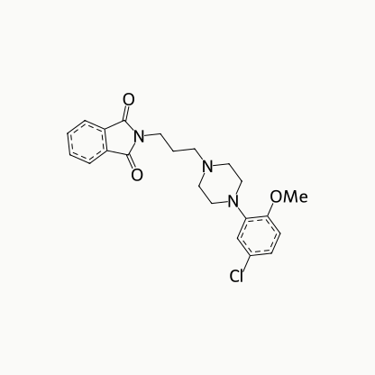 COc1ccc(Cl)cc1N1CCN(CCCN2C(=O)c3ccccc3C2=O)CC1